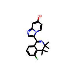 CC1(C)N=C(c2cnc3cc(O)ccn23)c2cccc(F)c2C1(C)C